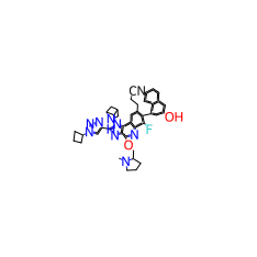 CN1CCCC1COc1nc2c(F)c(-c3cc(O)cc4ccccc34)c(CCC#N)cc2c2c1nc(-c1cn(C3CCC3)nn1)n2C1C2CNC1C2